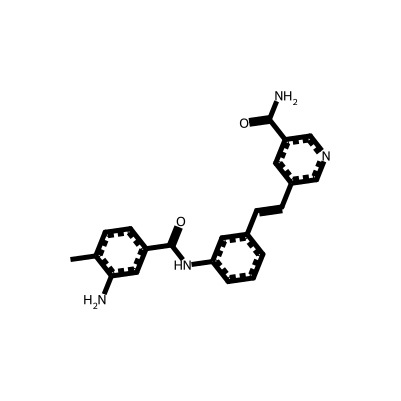 Cc1ccc(C(=O)Nc2cccc(/C=C/c3cncc(C(N)=O)c3)c2)cc1N